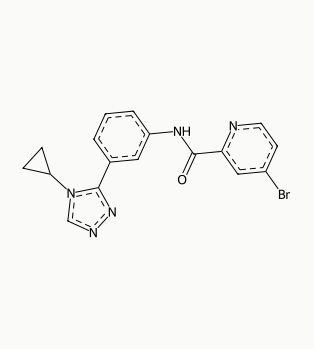 O=C(Nc1cccc(-c2nncn2C2CC2)c1)c1cc(Br)ccn1